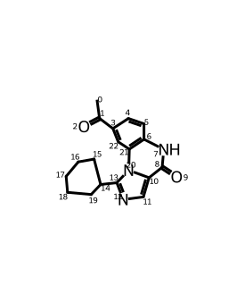 CC(=O)c1ccc2[nH]c(=O)c3cnc(C4CCCCC4)n3c2c1